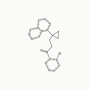 CCc1ccccc1C(=O)CCC1(c2cccc3ccccc23)CC1